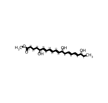 CC[C@@H](O)C=CC=CC[C@@H](O)C=CC=CC=C[C@@H](O)CCCC(=O)OC